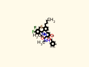 C=CCCc1cccc2c1SCc1c(ccc(F)c1F)[C@H]2N(C=C)n1ccc(=O)c(OCc2ccccc2)c1C(=O)NC